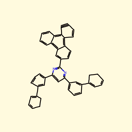 c1ccc2c(c#1)c1ccccc1c1cc(-c3nc(-c4cccc(C5=CC=CCC5)c4)cc(-c4cccc(C5=CC=CCC5)c4)n3)ccc21